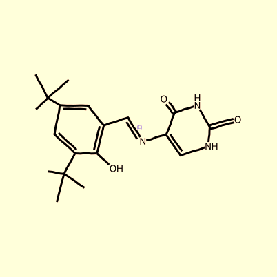 CC(C)(C)c1cc(/C=N/c2c[nH]c(=O)[nH]c2=O)c(O)c(C(C)(C)C)c1